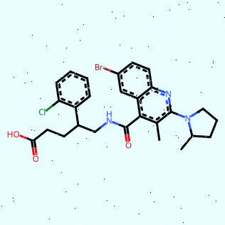 Cc1c(N2CCCC2C)nc2ccc(Br)cc2c1C(=O)NCC(CCC(=O)O)c1ccccc1Cl